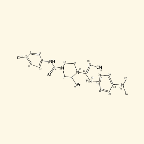 CC(C)C1CN(C(=O)Nc2ccc(Cl)cc2)CCN1/C(=N/C#N)Nc1ccc(N(C)C)cc1